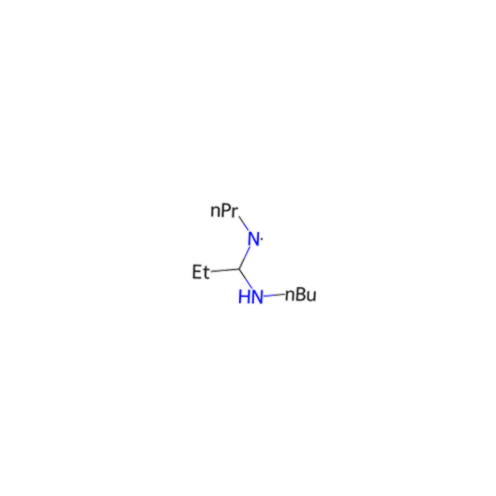 CCCCNC(CC)[N]CCC